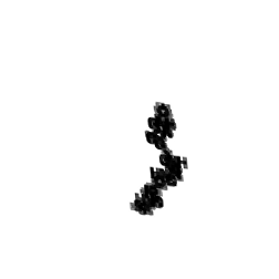 COc1cc2c(cc1OCCCC(=O)Nc1cn(C)c(C(=O)Nc3ccc(-c4cc(C(=O)NCC(C)(C)SSC)n(C)c4)cc3)n1)N=C[C@@H]1Cc3ccccc3CN1C2=O